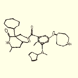 Cc1c(C(=O)NCC2(C3CCCCCC3)C(=O)NC(C)CC2C)cc(OC2CCNCC2)cc1N(C)C1CCCC1